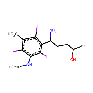 CCCCCNc1c(I)c(C(=O)O)c(I)c(C(N)CCC(O)CC)c1I